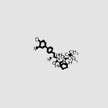 CC(C)(C)OC(=O)N1[C@@H]2CC[C@@H](C2)[C@H]1C(=O)N[C@H](C#N)Cc1ccc(-c2ccc(Cl)c(C#N)c2)cc1